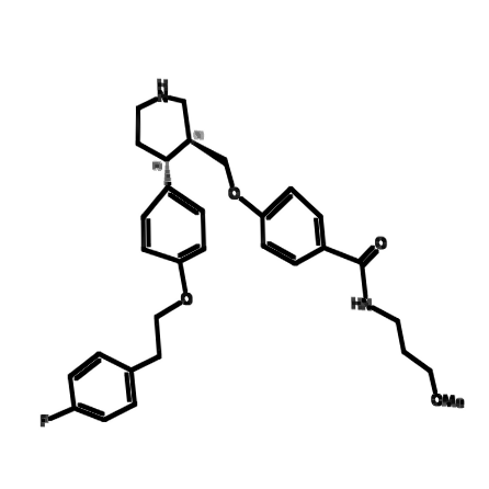 COCCCNC(=O)c1ccc(OC[C@@H]2CNCC[C@H]2c2ccc(OCCc3ccc(F)cc3)cc2)cc1